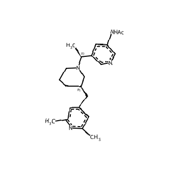 CC(=O)Nc1cncc([C@H](C)N2CCC[C@H](Cc3cc(C)nc(C)c3)C2)c1